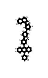 c1ccc(-c2c3ccccc3c(-c3ccc4c(c3)sc3cc(-c5ccc6sc7ccc8ccccc8c7c6c5)ccc34)c3ccccc23)cc1